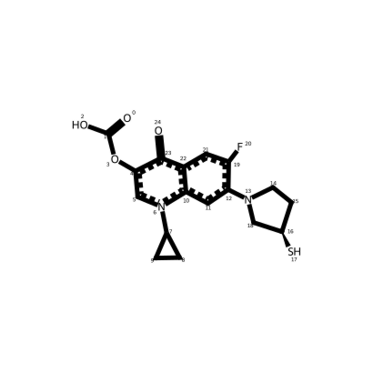 O=C(O)Oc1cn(C2CC2)c2cc(N3CC[C@@H](S)C3)c(F)cc2c1=O